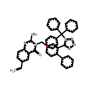 C=Cc1ccc2nc(CCCC)n(Cc3ccc(-c4ccccc4)c(-c4nnnn4C(c4ccccc4)(c4ccccc4)c4ccccc4)c3)c(=O)c2c1